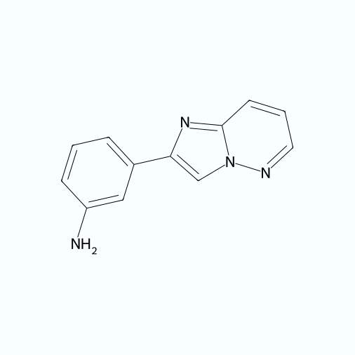 Nc1cccc(-c2cn3ncccc3n2)c1